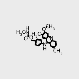 CNC(=O)OCc1ccc(Nc2c3cc(C)ccc3nc3cc(OC)c(C)cc23)cc1